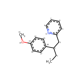 CCC(Cc1ccccn1)c1ccc(OC)cc1